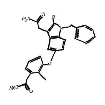 CCc1c(CC(N)=O)c2cc(Oc3cccc(C(=O)OC)c3C)ccc2n1Cc1ccccc1